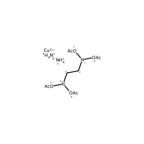 CC(=O)ON(CCN(OC(C)=O)OC(C)=O)OC(C)=O.[Cu+2].[NH4+].[NH4+]